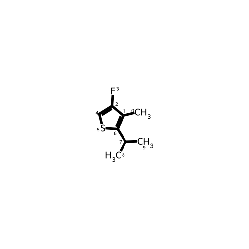 Cc1c(F)csc1C(C)C